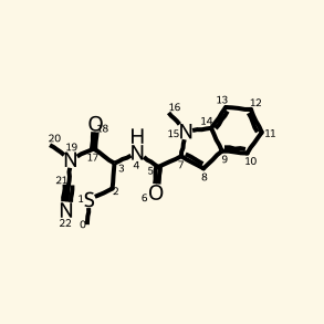 CSCC(NC(=O)c1cc2ccccc2n1C)C(=O)N(C)C#N